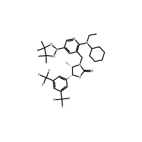 CCN(c1ncc(B2OC(C)(C)C(C)(C)O2)cc1CN1C(=O)O[C@H](c2cc(C(F)(F)F)cc(C(F)(F)F)c2)[C@@H]1C)C1CCCCC1